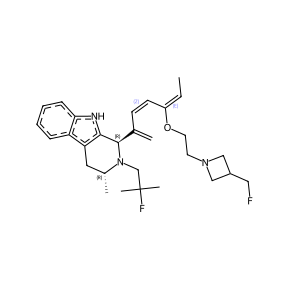 C=C(/C=C\C(=C/C)OCCN1CC(CF)C1)[C@@H]1c2[nH]c3ccccc3c2C[C@@H](C)N1CC(C)(C)F